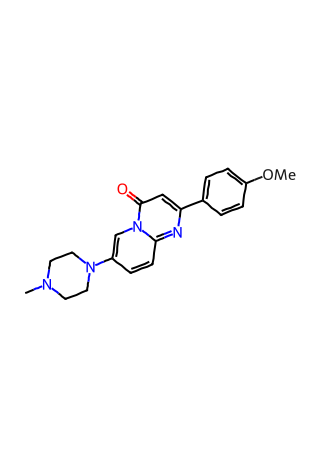 COc1ccc(-c2cc(=O)n3cc(N4CCN(C)CC4)ccc3n2)cc1